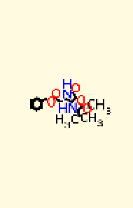 COC(=O)[C@@H](N[C@H]1CC(=O)N[C@H]1CC(=O)OCc1ccccc1)C(C)C